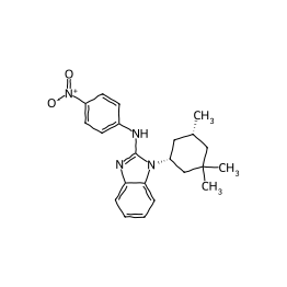 C[C@H]1C[C@@H](n2c(Nc3ccc([N+](=O)[O-])cc3)nc3ccccc32)CC(C)(C)C1